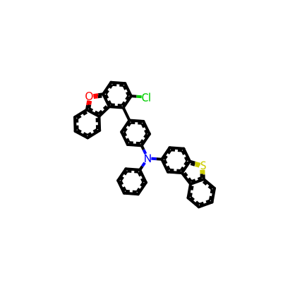 Clc1ccc2oc3ccccc3c2c1-c1ccc(N(c2ccccc2)c2ccc3sc4ccccc4c3c2)cc1